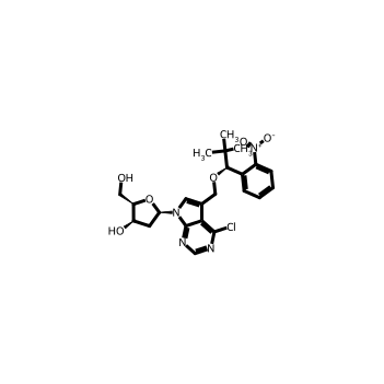 CC(C)(C)[C@H](OCc1cn([C@H]2C[C@@H](O)[C@@H](CO)O2)c2ncnc(Cl)c12)c1ccccc1[N+](=O)[O-]